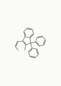 C/C=C\C1=C(C)C(c2ccccc2)(c2ccccc2)c2ccccc21